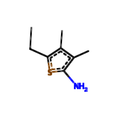 CCc1sc(N)c(C)c1C